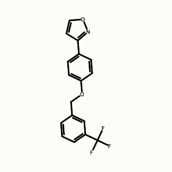 FC(F)(F)c1cccc(COc2ccc(-c3ccon3)cc2)c1